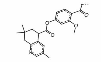 COc1cc(OC(=O)C2CC(C)(C)Cc3ncc(C)cc32)ccc1C(=O)O